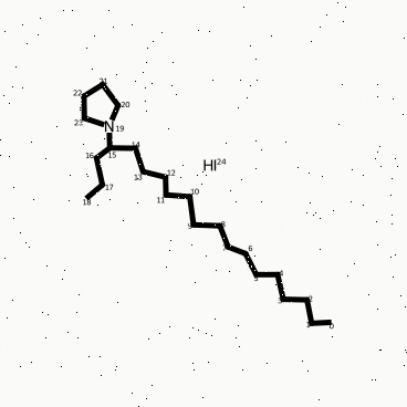 CCCCCCCCCCCCCCCC(CCC)N1CCCC1.I